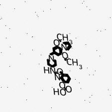 CCOc1cc(CN2CCC(Nc3nc4c(OC(=O)O)cccc4o3)CC2)cc(OCC)c1-n1cccc1